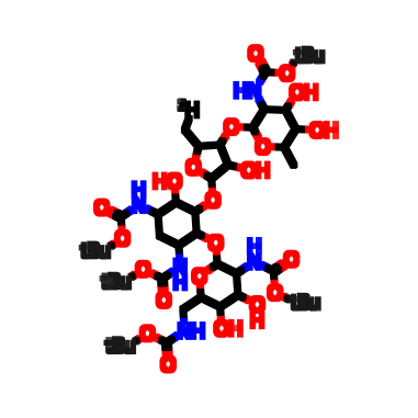 [3H]CC1OC(OC2C(O)C(NC(=O)OC(C)(C)C)CC(NC(=O)OC(C)(C)C)C2OC2OC(CNC(=O)OC(C)(C)C)C(O)C(O)C2NC(=O)OC(C)(C)C)C(O)C1OC1OC(C)C(O)C(O)C1NC(=O)OC(C)(C)C